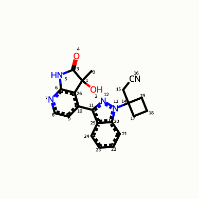 CC1(O)C(=O)Nc2nccc(-c3nn(C4(CC#N)CCC4)c4ccccc34)c21